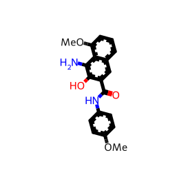 COc1ccc(NC(=O)c2cc3cccc(OC)c3c(N)c2O)cc1